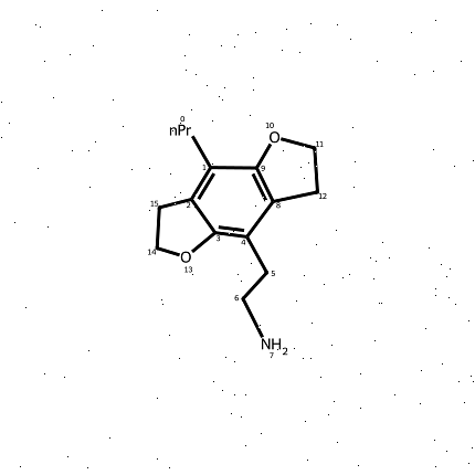 CCCc1c2c(c(CCN)c3c1OCC3)OCC2